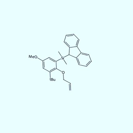 C=CCOc1c(C(C)(C)C)cc(OC)cc1[Si](C)(C)C1c2ccccc2-c2ccccc21